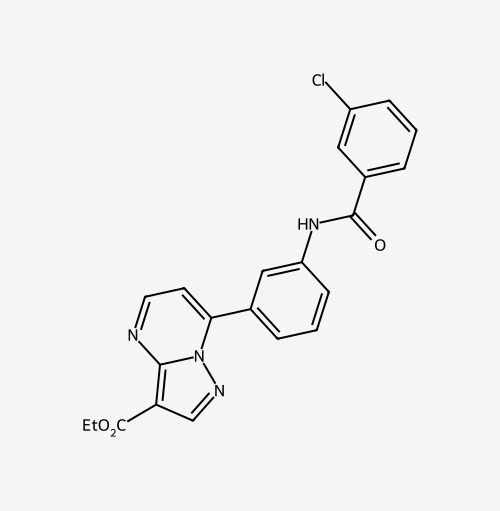 CCOC(=O)c1cnn2c(-c3cccc(NC(=O)c4cccc(Cl)c4)c3)ccnc12